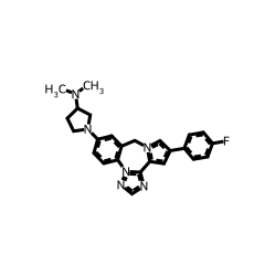 CN(C)C1CCN(c2ccc3c(c2)Cn2cc(-c4ccc(F)cc4)cc2-c2ncnn2-3)C1